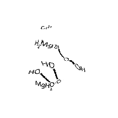 O[O][Zn].[Ca+2].[MgH2].[MgH2].[O-]O.[O-]O